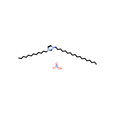 CCCCCCCCCCCCCCCCCCN1C=CN(CCCCCCCCCCCC)C1.O=[N+]([O-])O